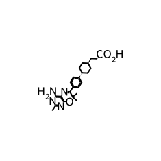 Cc1nc(N)c2c(n1)OC(C)(C)C(c1ccc([C@H]3CC[C@H](CCC(=O)O)CC3)cc1)=N2